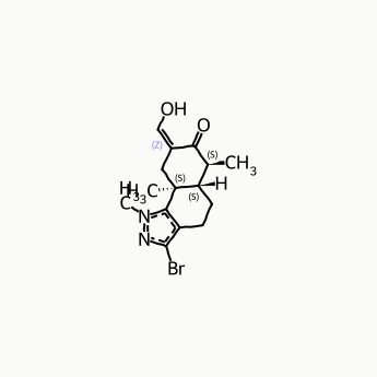 C[C@@H]1C(=O)/C(=C\O)C[C@]2(C)c3c(c(Br)nn3C)CC[C@@H]12